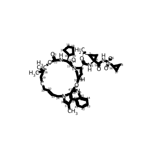 C=C[C@@H]1C[C@]1(NC(=O)[C@@H]1C[C@@H]2CN1C(=O)[C@H](C1CCCC1)NC(=O)OCC(C)(C)CCC/C=C/Cn1cc(C)c3c4ccccc4nc(c31)O2)C(=O)NS(=O)(=O)C1CC1